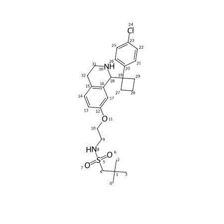 CC(C)(C)CS(=O)(=O)NCCOc1ccc2c(c1)C(C1(c3ccc(Cl)cc3)CCC1)NCC2